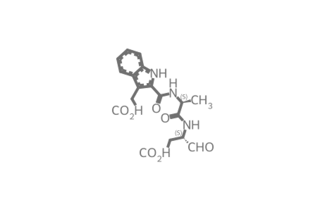 C[C@H](NC(=O)c1[nH]c2ccccc2c1CC(=O)O)C(=O)N[C@H](C=O)CC(=O)O